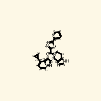 O=C(c1nnc(-c2ccccn2)o1)N1CCc2[nH]cnc2[C@@H]1c1cc2c(C3CC3)cccn2n1